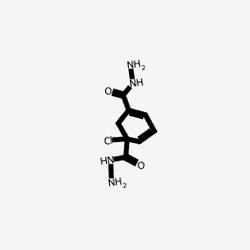 NNC(=O)C1=CC=CC(Cl)(C(=O)NN)C1